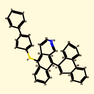 c1ccc(-c2ccc(Sc3c4ccccc4c(-c4cc5ccccc5c5ccccc45)c4cnccc34)cc2)cc1